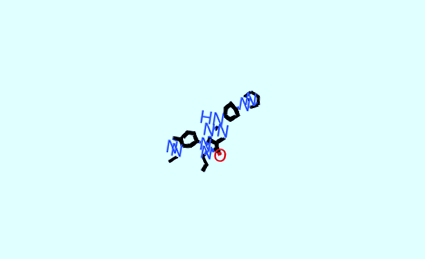 C=CCn1c(=O)c2cnc(Nc3ccc(N4CC5CC(C4)N5C)cc3)nc2n1-c1ccc2cnn(CC)c2c1